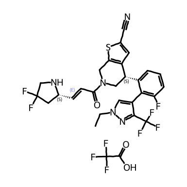 CCn1cc(-c2c(F)cccc2[C@@H]2CN(C(=O)/C=C/[C@@H]3CC(F)(F)CN3)Cc3sc(C#N)cc32)c(C(F)(F)F)n1.O=C(O)C(F)(F)F